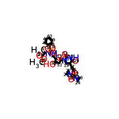 COC(=O)[C@H](C)NP(=O)(OCC1OC(n2cc(C#COP(=O)(N3CC3)N3CC3)c(=O)[nH]c2=O)C[C@@H]1O)Oc1ccccc1